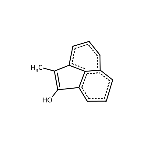 CC1=C(O)c2cccc3cccc1c23